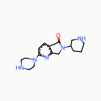 O=C1c2ccc(N3CCNCC3)nc2CN1C1CCCNC1